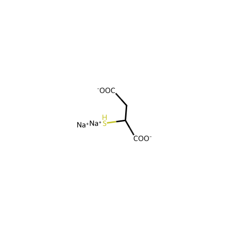 O=C([O-])CC(S)C(=O)[O-].[Na+].[Na+]